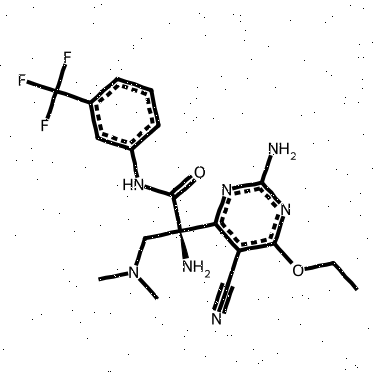 CCOc1nc(N)nc([C@](N)(CN(C)C)C(=O)Nc2cccc(C(F)(F)F)c2)c1C#N